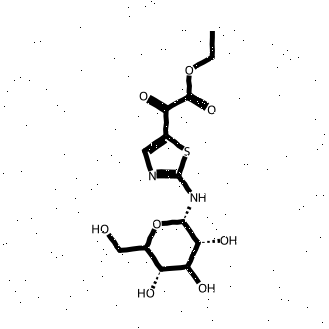 CCOC(=O)C(=O)c1cnc(N[C@H]2OC(CO)[C@@H](O)C(O)[C@H]2O)s1